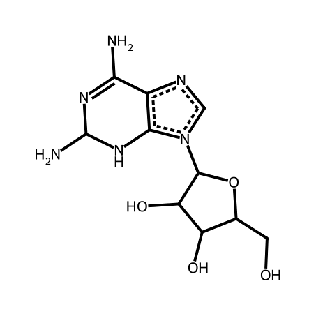 NC1=NC(N)Nc2c1ncn2C1OC(CO)C(O)C1O